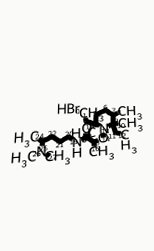 Br.CCC1(C)CCC(C)C(C)(CC)N1OC(C)C(=O)NCCCC(C)N(C)C